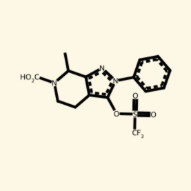 CC1c2nn(-c3ccccc3)c(OS(=O)(=O)C(F)(F)F)c2CCN1C(=O)O